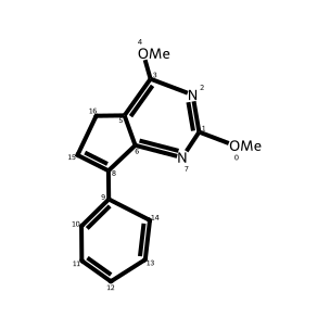 COc1nc(OC)c2c(n1)C(c1ccccc1)=CC2